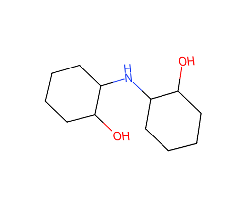 OC1CCCCC1NC1CCCCC1O